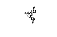 Nc1c(Br)c([C@H]2CCCNC2)nc2c(-c3cn[nH]c3)cnn12